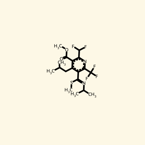 COC(=O)c1c(C(F)F)nc(C(F)(F)F)c(C(=NC(C)C)SC)c1CC(C)C